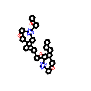 c1ccc(-c2nc(-c3cccc4c3oc3ccccc34)nc(-c3cccc4oc5ccc(-c6ccc7c8c(cccc68)-c6cc(-c8cccc9c8oc8cccc(-c%10ncnc(-c%11cccc%12oc%13ccc(-c%14ccc%15c(ccc%16c%17ccccc%17ccc%15%16)c%14)cc%13c%11%12)n%10)c89)ccc6-7)cc5c34)n2)cc1